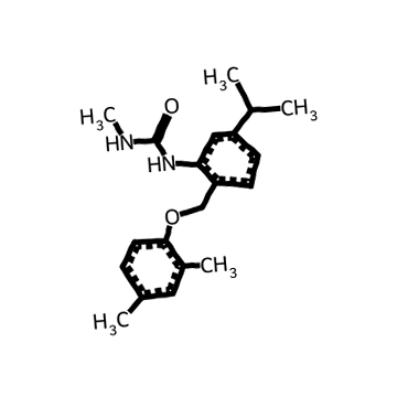 CNC(=O)Nc1cc(C(C)C)ccc1COc1ccc(C)cc1C